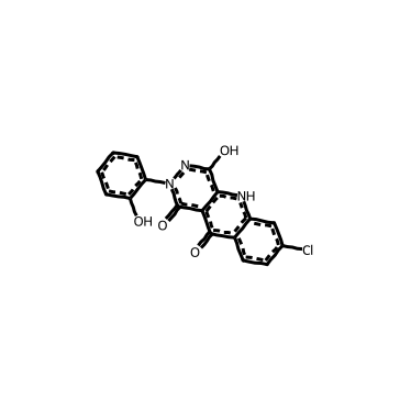 O=c1c2ccc(Cl)cc2[nH]c2c(O)nn(-c3ccccc3O)c(=O)c12